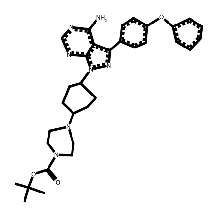 CC(C)(C)OC(=O)N1CCN(C2CCC(n3nc(-c4ccc(Oc5ccccc5)cc4)c4c(N)ncnc43)CC2)CC1